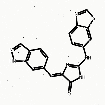 O=C1NC(Nc2ccc3ncsc3c2)=N/C1=C\c1ccc2cn[nH]c2c1